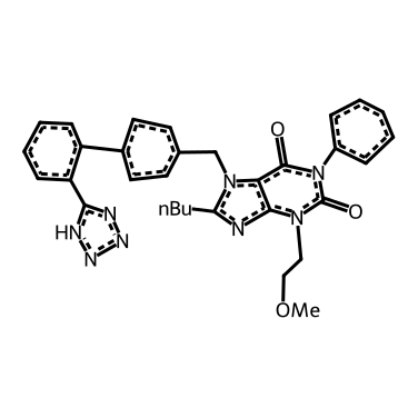 CCCCc1nc2c(c(=O)n(-c3ccccc3)c(=O)n2CCOC)n1Cc1ccc(-c2ccccc2-c2nnn[nH]2)cc1